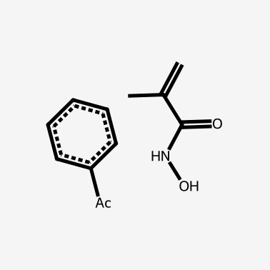 C=C(C)C(=O)NO.CC(=O)c1ccccc1